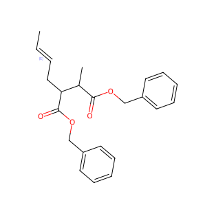 C/C=C/CC(C(=O)OCc1ccccc1)C(C)C(=O)OCc1ccccc1